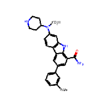 COc1cccc(-c2cc(C(N)=O)c3[nH]c4cc(N(C(=O)O)C5CCNCC5)ccc4c3c2)c1